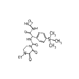 CCN1CCN(C(=O)NC(C(=O)NC2CON2)c2ccc([Si](C)(C)C)cc2)C(=O)C1=O